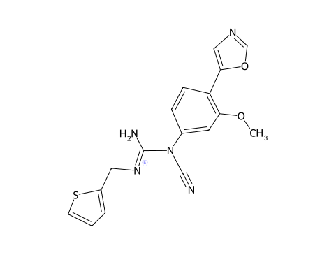 COc1cc(N(C#N)/C(N)=N/Cc2cccs2)ccc1-c1cnco1